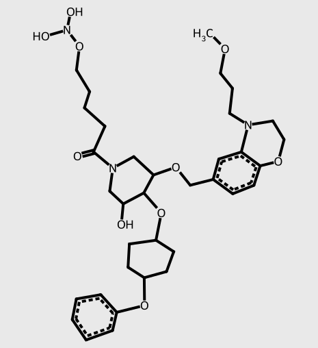 COCCCN1CCOc2ccc(COC3CN(C(=O)CCCCON(O)O)CC(O)C3OC3CCC(Oc4ccccc4)CC3)cc21